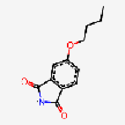 CCCCOc1ccc2c(c1)C(=O)[N]C2=O